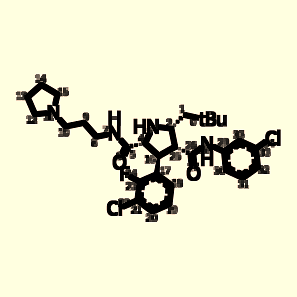 CC(C)(C)C[C@H]1N[C@@H](C(=O)NCCCN2CCCC2)[C@H](c2cccc(Cl)c2F)[C@H]1C(=O)Nc1cccc(Cl)c1